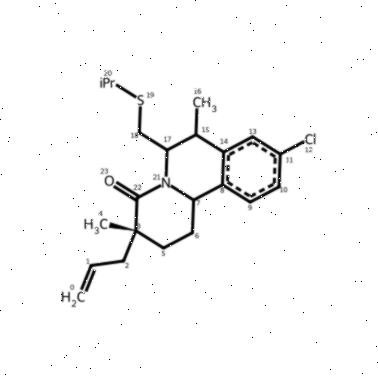 C=CC[C@@]1(C)CCC2c3ccc(Cl)cc3C(C)C(CSC(C)C)N2C1=O